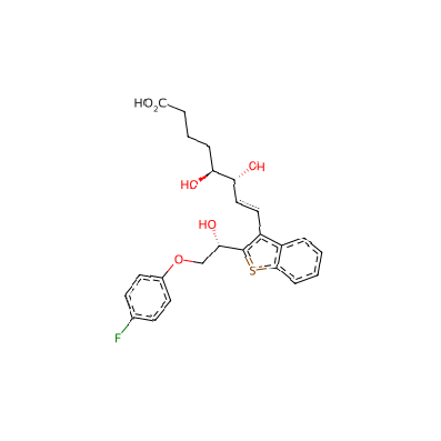 O=C(O)CCC[C@H](O)[C@H](O)/C=C/c1c([C@@H](O)COc2ccc(F)cc2)sc2ccccc12